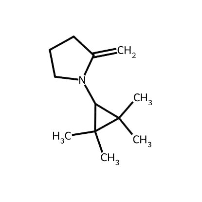 C=C1CCCN1C1C(C)(C)C1(C)C